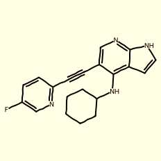 Fc1ccc(C#Cc2cnc3[nH]ccc3c2NC2CCCCC2)nc1